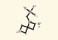 F[B-](F)(F)CN1CCC12COC2.[K+]